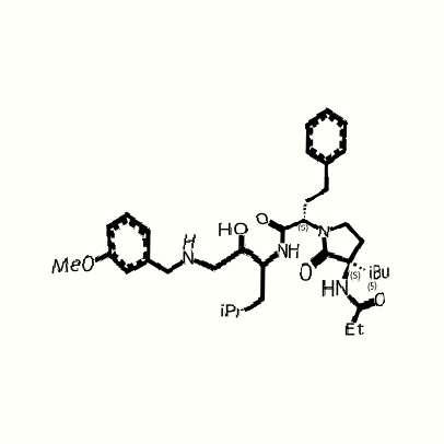 CCC(=O)N[C@]1([C@@H](C)CC)CCN([C@@H](CCc2ccccc2)C(=O)NC(CC(C)C)C(O)CNCc2cccc(OC)c2)C1=O